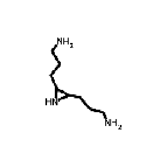 NCCCC1NC1CCCN